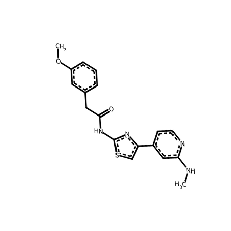 CNc1cc(-c2csc(NC(=O)Cc3cccc(OC)c3)n2)ccn1